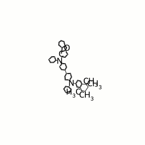 CC1(C)CCC(C)(C)c2cc(N(c3ccccc3)c3ccc(-c4ccc(N(c5ccccc5)c5ccc6oc7ccccc7c6c5)cc4)cc3)ccc21